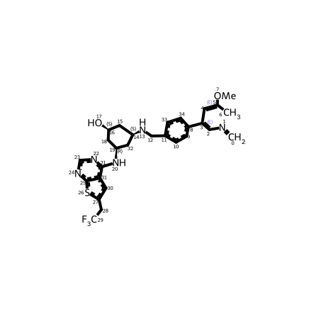 C=N/C=C(\C=C(/C)OC)c1ccc(CN[C@@H]2C[C@H](O)C[C@H](Nc3ncnc4sc(CC(F)(F)F)cc34)C2)cc1